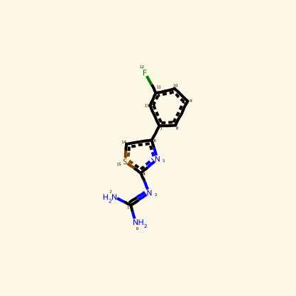 NC(N)=Nc1nc(-c2cccc(F)c2)cs1